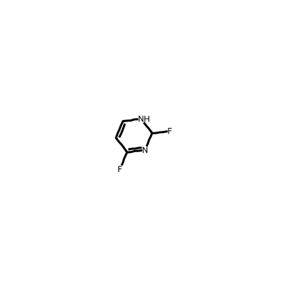 F[C]1N=C(F)C=CN1